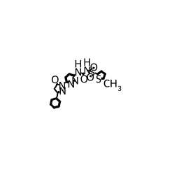 Cc1ccc(S(=O)(=O)NC(=O)Nc2ccc(N3N=C(c4ccccc4)CC3=O)nn2)s1